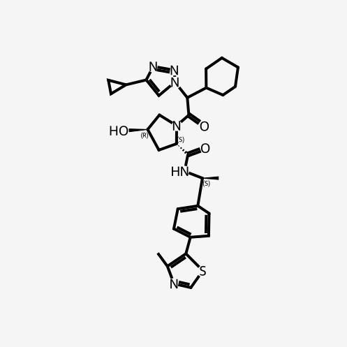 Cc1ncsc1-c1ccc([C@H](C)NC(=O)[C@@H]2C[C@@H](O)CN2C(=O)C(C2CCCCC2)n2cc(C3CC3)nn2)cc1